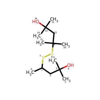 CC(CC(C)(C)O)SSC(C)(C)CC(C)(C)O